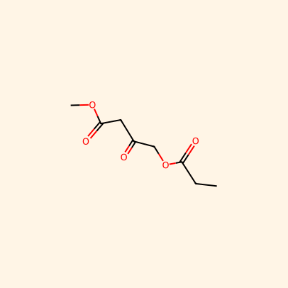 CCC(=O)OCC(=O)CC(=O)OC